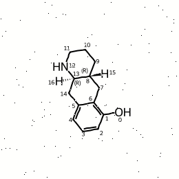 Oc1cccc2c1C[C@H]1CCCN[C@@H]1C2